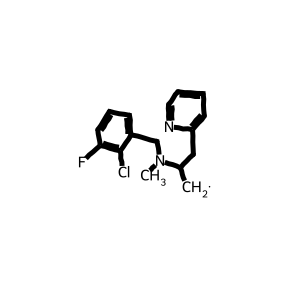 [CH2]C(Cc1ccccn1)N(C)Cc1cccc(F)c1Cl